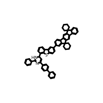 C1=C(c2ccc(-c3ccccc3)cc2)N=C(c2ccccc2)NC1c1cccc2c1sc1ccc(-c3ccc4c(c3)C3(CCCCC3)c3cc5c(cc3-4)C3(CCCCC3)c3ccccc3-5)cc12